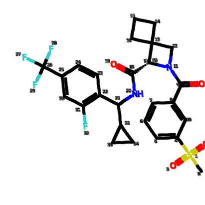 CS(=O)(=O)c1cccc(C(=O)N2CC3(CCC3)[C@H]2C(=O)NC(c2ccc(C(F)(F)F)cc2F)C2CC2)c1